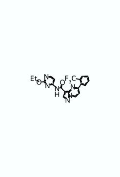 CCOc1nccc(NC(=O)c2cnn3ccc(-c4ccccc4C(F)(F)F)nc23)n1